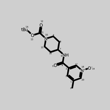 Cc1cc(C(=O)NC2CCN(C(=O)OC(C)(C)C)CC2)c[n+]([O-])c1